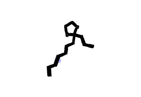 C=C/C=C/C=CCC1(CCC)OCCO1